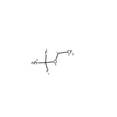 CCCC(F)(F)OCC(F)(F)F